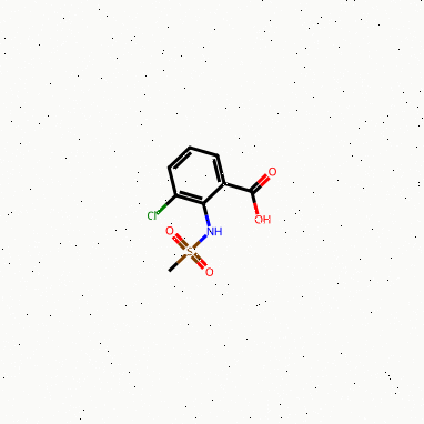 CS(=O)(=O)Nc1c(Cl)cccc1C(=O)O